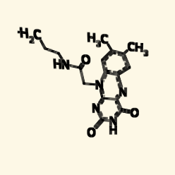 [CH2]CCNC(=O)Cn1c2nc(=O)[nH]c(=O)c-2nc2cc(C)c(C)cc21